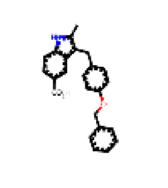 Cc1[nH]c2ccc(C(=O)O)cc2c1Cc1ccc(OCc2ccccc2)cc1